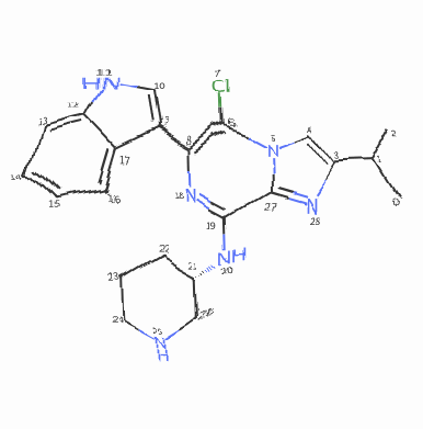 CC(C)c1cn2c(Cl)c(-c3c[nH]c4ccccc34)nc(N[C@H]3CCCNC3)c2n1